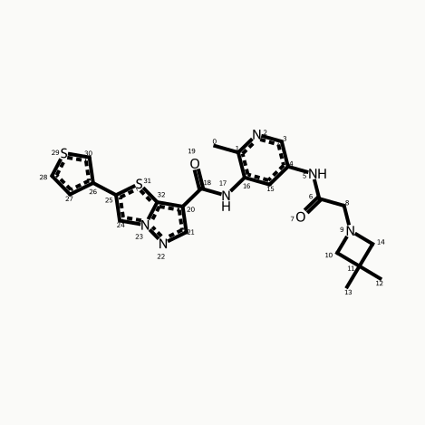 Cc1ncc(NC(=O)CN2CC(C)(C)C2)cc1NC(=O)c1cnn2cc(-c3ccsc3)sc12